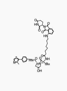 Cc1ncsc1-c1ccc(CNC(=O)[C@@H]2C[C@@H](O)CN2C(=O)[C@@H](NC(=O)CCCCCCCNc2cccc3c2C(=O)N(C2CCC(=O)NC2=O)C3=O)C(C)(C)C)cc1